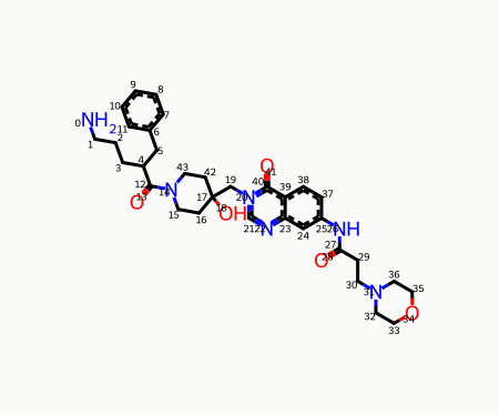 NCCCC(Cc1ccccc1)C(=O)N1CCC(O)(Cn2cnc3cc(NC(=O)CCN4CCOCC4)ccc3c2=O)CC1